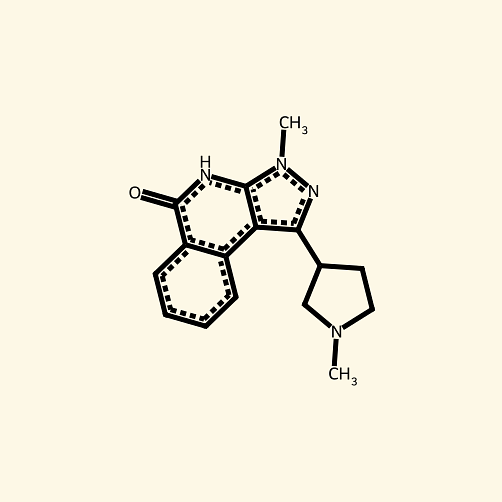 CN1CCC(c2nn(C)c3[nH]c(=O)c4ccccc4c23)C1